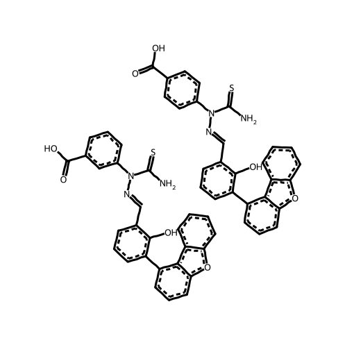 NC(=S)N(N=Cc1cccc(-c2cccc3oc4ccccc4c23)c1O)c1ccc(C(=O)O)cc1.NC(=S)N(N=Cc1cccc(-c2cccc3oc4ccccc4c23)c1O)c1cccc(C(=O)O)c1